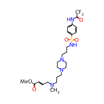 COC(=O)/C=C/CN(C)CCCN1CCN(CCCNS(=O)(=O)c2ccc(NC(=O)C(F)(F)F)cc2)CC1